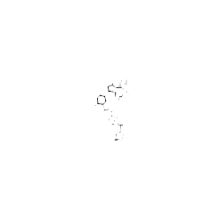 Nc1ncnn2c(-c3ccc(Cl)c(C(=O)N[C@@H]4CN(C(=O)C5CCC(F)(F)C5)C[C@@H]4F)c3)cc(C(F)(F)F)c12